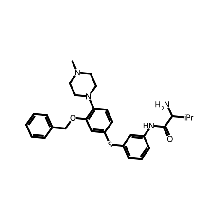 CC(C)C(N)C(=O)Nc1cccc(Sc2ccc(N3CCN(C)CC3)c(OCc3ccccc3)c2)c1